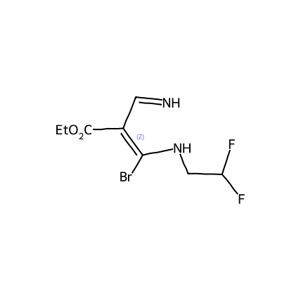 CCOC(=O)/C(C=N)=C(\Br)NCC(F)F